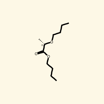 CCCCOC(=O)[C@H](C)OCCCC